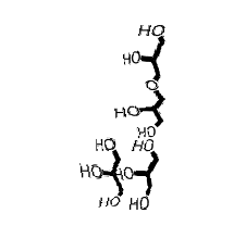 OCC(O)CO.OCC(O)CO.OCC(O)COCC(O)CO